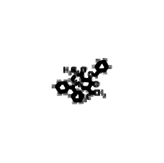 C=C(C)c1cn2c(c(OCc3ccccc3)c1=O)C(=O)N(C)CN2C(c1ccccc1)c1ccccc1